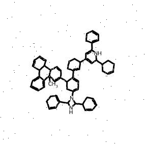 CC12C=C(C3CC(N4C(C5=CCCC=C5)NC4C4C=CC=CC4)=CC=C3C3=CC(C4=CC(C5CC=CCC5)NC(C5=CC=CCC5)=C4)CCC3)C=CC1C1C=CC=CC1c1ccccc12